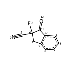 N#CC1(F)Cc2ccccc2C1=O